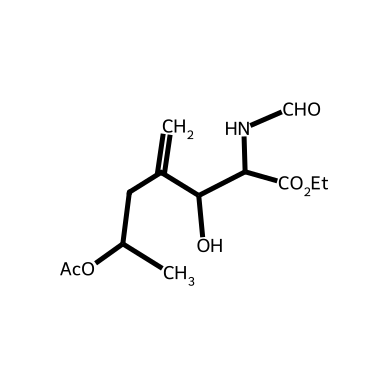 C=C(CC(C)OC(C)=O)C(O)C(NC=O)C(=O)OCC